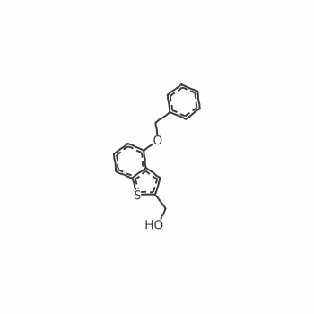 OCc1cc2c(OCc3ccccc3)cccc2s1